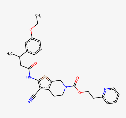 CCOc1cccc(C(C)CC(=O)Nc2sc3c(c2C#N)CCN(C(=O)OCCc2ccccn2)C3)c1